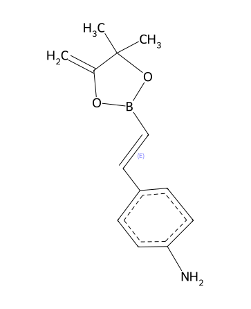 C=C1OB(/C=C/c2ccc(N)cc2)OC1(C)C